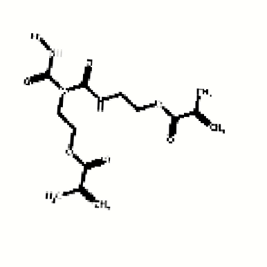 C=C(C)C(=O)OCCNC(=O)N(CCOC(=O)C(=C)C)C(=O)NCC